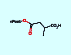 CCCCCOC(=O)CC(C)C(=O)O